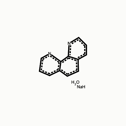 O.[NaH].c1cnc2c(c1)ccc1cccnc12